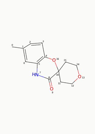 Cc1ccc2c(c1)NC(=O)C1(CCOCC1)O2